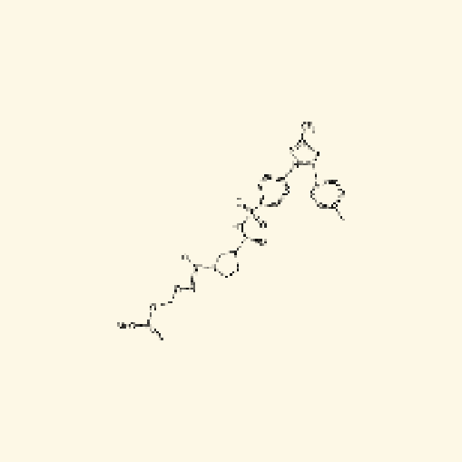 COC(=O)OCO/N=[N+](\[O-])N1CCC(C(=O)NS(=O)(=O)c2ccc(-n3nc(C(F)(F)F)cc3-c3ccc(C)cc3)cc2)C1